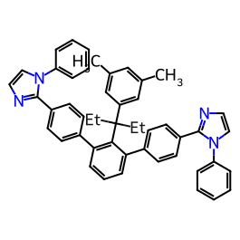 CCC(CC)(c1cc(C)cc(C)c1)c1c(-c2ccc(-c3nccn3-c3ccccc3)cc2)cccc1-c1ccc(-c2nccn2-c2ccccc2)cc1